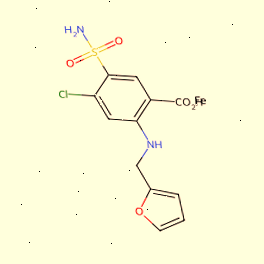 NS(=O)(=O)c1cc(C(=O)O)c(NCc2ccco2)cc1Cl.[Fe]